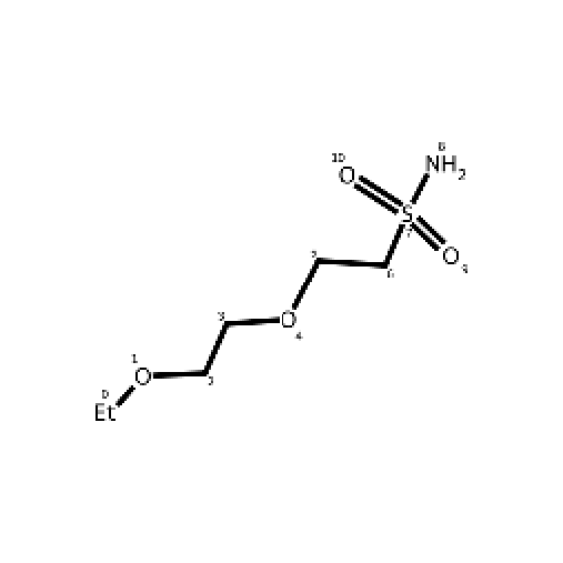 CCOCCOCCS(N)(=O)=O